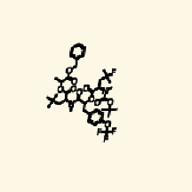 CC(OC(=O)C(CC(C)(C)C)N(C)C(=O)C(Cc1ccc(OC(F)(F)F)cc1)OC(=O)C(CC(C)(C)F)N(C)C(=O)OC(C)(C)C)C(=O)OCc1ccccc1